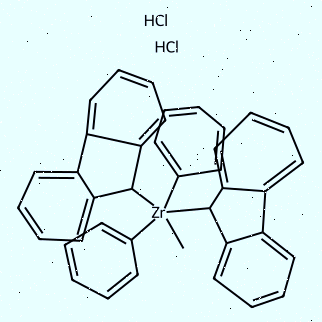 Cl.Cl.[CH3][Zr]([c]1ccccc1)([c]1ccccc1)([CH]1c2ccccc2-c2ccccc21)[CH]1c2ccccc2-c2ccccc21